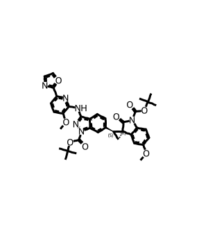 COc1ccc2c(c1)[C@]1(C[C@H]1c1ccc3c(Nc4nc(-c5ncco5)ccc4OC)nn(C(=O)OC(C)(C)C)c3c1)C(=O)N2C(=O)OC(C)(C)C